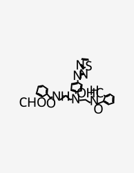 O=Cc1ccccc1C(=O)NCCCN(CCCNC(=O)c1ccccc1C=O)c1ccc(/N=N/c2nccs2)cc1